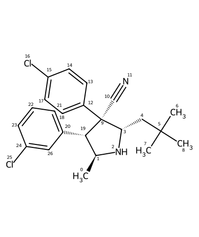 C[C@@H]1N[C@@H](CC(C)(C)C)[C@](C#N)(c2ccc(Cl)cc2)[C@H]1c1cccc(Cl)c1